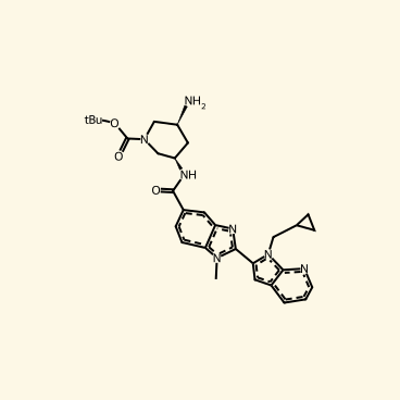 Cn1c(-c2cc3cccnc3n2CC2CC2)nc2cc(C(=O)N[C@@H]3C[C@H](N)CN(C(=O)OC(C)(C)C)C3)ccc21